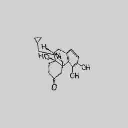 O=C1CC[C@]2(O)[C@@H]3Cc4ccc(O)c(O)c4[C@]2(CCN3CC2CC2)C1